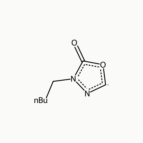 CCCCCn1n[c]oc1=O